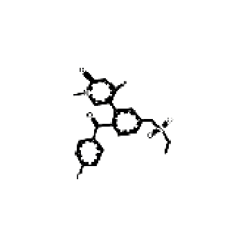 CCS(=O)(=O)Cc1ccc(C(=O)c2ccc(F)cc2)c(-c2cn(C)c(=O)cc2F)c1